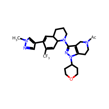 CC(=O)N1CCc2c(c(N3CCCC4C=C(c5cnn(C)c5)C(C(F)(F)F)=CC43)nn2C2CCOCC2)C1